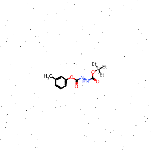 CC[Si](CC)(CC)OC(=O)/N=N/C(=O)Oc1cccc(C)c1